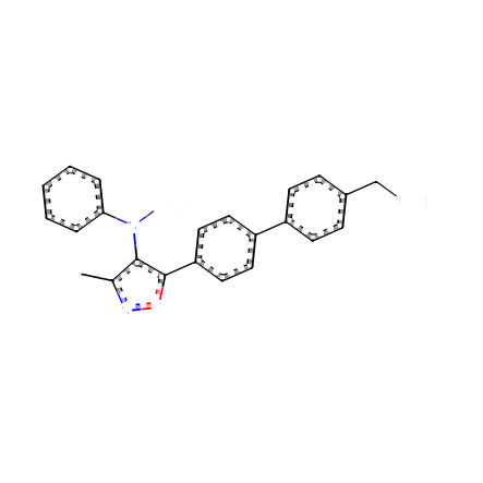 CCOC(=O)Cc1ccc(-c2ccc(-c3onc(C)c3N(C(=O)OCC)c3ccccc3)cc2)cc1